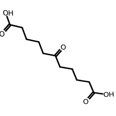 O=C(O)CCCCC(=O)CCCCC(=O)O